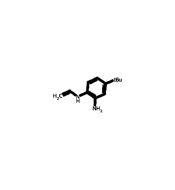 C=CNc1ccc(C(C)(C)C)cc1N